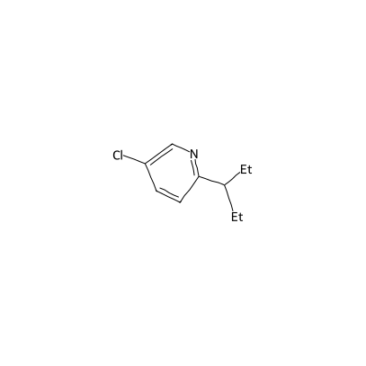 CCC(CC)c1ccc(Cl)cn1